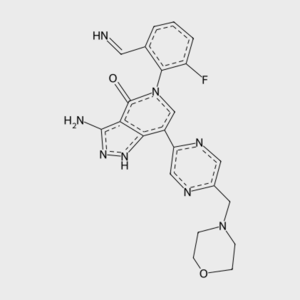 N=Cc1cccc(F)c1-n1cc(-c2cnc(CN3CCOCC3)cn2)c2[nH]nc(N)c2c1=O